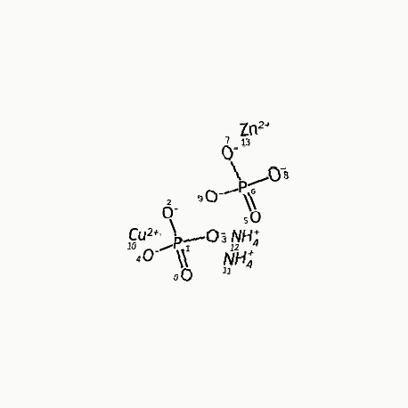 O=P([O-])([O-])[O-].O=P([O-])([O-])[O-].[Cu+2].[NH4+].[NH4+].[Zn+2]